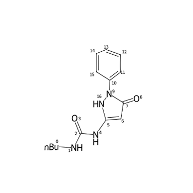 CCCCNC(=O)Nc1cc(=O)n(-c2ccccc2)[nH]1